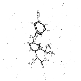 CN1C(=O)OC(C)(C)c2cc(Nc3cccc(Cl)c3)ccc21